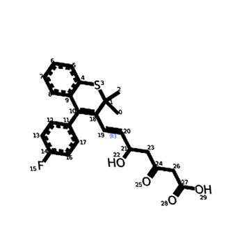 CC1(C)Sc2ccccc2C(c2ccc(F)cc2)=C1/C=C/C(O)CC(=O)CC(=O)O